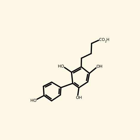 O=C(O)CCCc1c(O)cc(O)c(-c2ccc(O)cc2)c1O